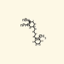 CCCCB1CCC(CCCCB2CCCCN2C)CN1CCC